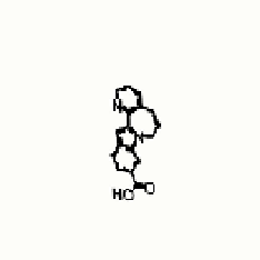 O=C(O)c1ccc2cc3n(c2c1)CC=Cc1cccnc1-3